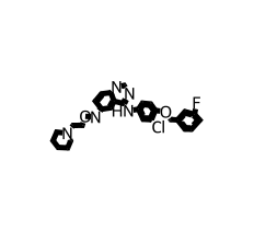 Fc1cccc(COc2ccc(NC3=NCN=C4C=C/C(=N\OCCN5CCCCC5)C=C43)cc2Cl)c1